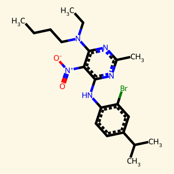 CCCCN(CC)c1nc(C)nc(Nc2ccc(C(C)C)cc2Br)c1[N+](=O)[O-]